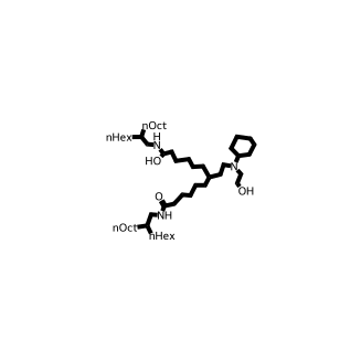 CCCCCCCCC(CCCCCC)CNC(=O)CCCCCC(CCCCCC(O)NCC(CCCCCC)CCCCCCCC)CCN(CCO)C1CCCCC1